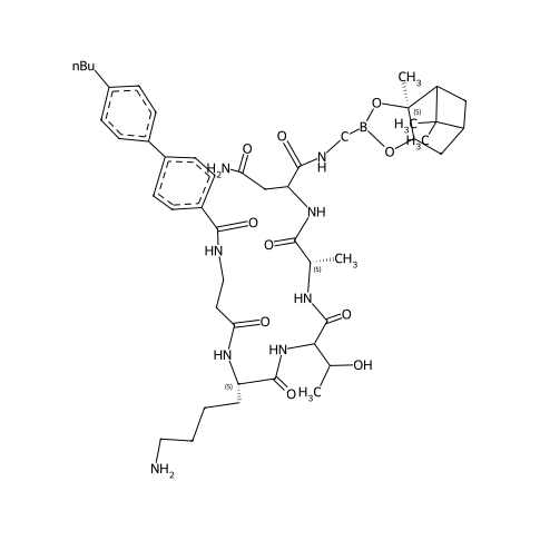 CCCCc1ccc(-c2ccc(C(=O)NCCC(=O)N[C@@H](CCCCN)C(=O)NC(C(=O)N[C@@H](C)C(=O)NC(CC(N)=O)C(=O)NCB3OC4CC5CC(C5(C)C)[C@]4(C)O3)C(C)O)cc2)cc1